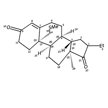 CCC1C[C@H]2[C@@H]3CCC4=CC(=O)CC[C@]4(CSC)[C@@H]3CC[C@]2(C)C1=O